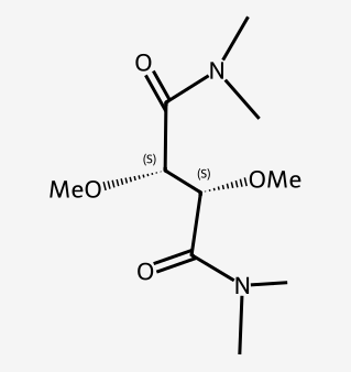 CO[C@H](C(=O)N(C)C)[C@H](OC)C(=O)N(C)C